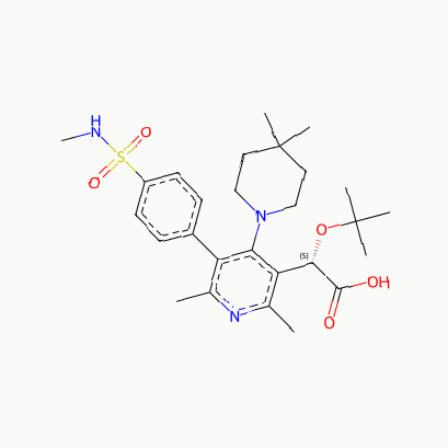 CNS(=O)(=O)c1ccc(-c2c(C)nc(C)c([C@H](OC(C)(C)C)C(=O)O)c2N2CCC(C)(C)CC2)cc1